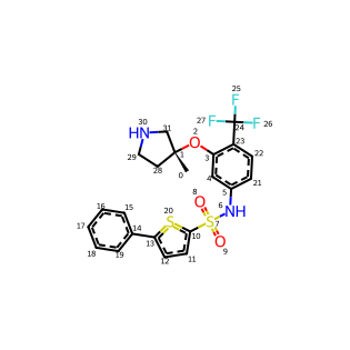 C[C@@]1(Oc2cc(NS(=O)(=O)c3ccc(-c4ccccc4)s3)ccc2C(F)(F)F)CCNC1